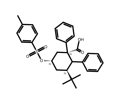 Cc1ccc(S(=O)(=O)O[C@H]2C[C@H](C(C)(C)C)C(c3ccccc3)[C@](C(=O)O)(c3ccccc3)C2)cc1